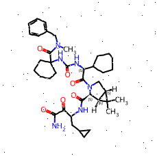 CN(Cc1ccccc1)C(=O)C1(NC(=O)N[C@H](C(=O)N2C[C@H]3[C@@H]([C@H]2C(=O)NC(CC2CC2)C(=O)C(N)=O)C3(C)C)C2CCCCC2)CCCCC1